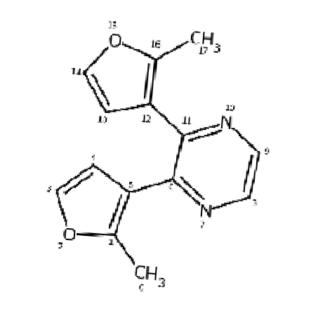 Cc1occc1-c1nccnc1-c1ccoc1C